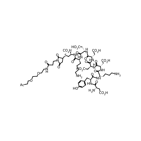 CC(=O)CCOCCOCCNC(=O)CCN1C(=O)CC(SC[C@H](NC(=O)[C@H](CCCCN)NC(=O)[C@H](CC(=O)O)NC(=O)[C@H](CC(=O)O)NC(=O)[C@H](CC(=O)O)NC(=O)[C@H](CC(=O)O)NC(=O)[C@H](CCCCN)NC(=O)[C@H](Cc2ccc(O)cc2)NC(=O)[C@@H](N)CC(=O)O)C(=O)O)C1=O